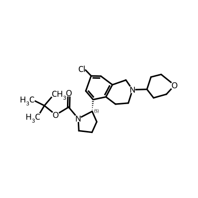 CC(C)(C)OC(=O)N1CCC[C@H]1c1cc(Cl)cc2c1CCN(C1CCOCC1)C2